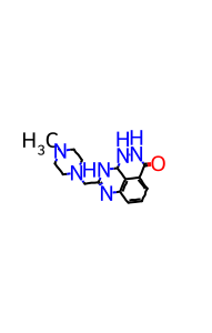 CN1CCN(CC2=Nc3cccc4c3C(NNC4=O)N2)CC1